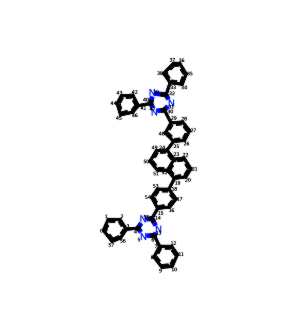 c1ccc(-c2nc(-c3ccccc3)nc(-c3ccc(-c4cccc5c(-c6cccc(-c7nc(-c8ccccc8)nc(-c8ccccc8)n7)c6)cccc45)cc3)n2)cc1